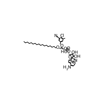 CCCCCCCCCCCCCCCCCCOC[C@H](COP(=O)(O)OC[C@H]1O[C@@](C#N)(c2ccc3c(N)ccnn23)[C@H](O)[C@@H]1O)OCc1cc(C)c(Cl)c(C#N)c1